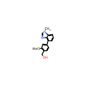 COc1cc(-c2cccc3c2ncn3C)ccc1CO